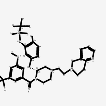 COc1cc(C(=O)N2CCN(CCN3CCc4ncccc4C3)C[C@H]2Cc2ccc(C)c(O[Si](C)(C)C(C)(C)C)c2)cc(C(F)(F)F)c1